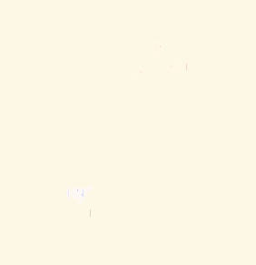 CNCCCCCCSS(=O)(=O)O